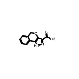 O=C(O)c1n[nH]c2c1OCc1ccccc1-2